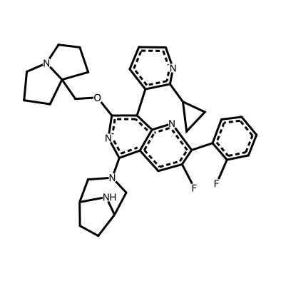 Fc1ccccc1-c1nc2c(-c3cccnc3C3CC3)c(OCC34CCCN3CCC4)nc(N3CC4CCC(C3)N4)c2cc1F